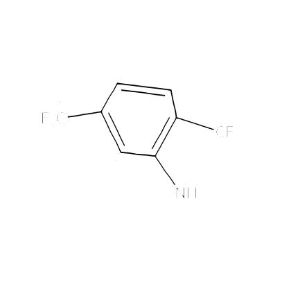 [NH]c1cc(C(F)(F)F)ccc1C(F)(F)F